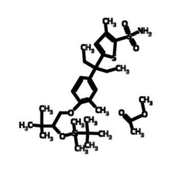 CCC(CC)(c1ccc(OCC(O[Si](C)(C)C(C)(C)C)C(C)(C)C)c(C)c1)c1cc(C)c(S(N)(=O)=O)s1.COC(C)=O